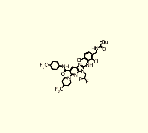 CC(C)(C)C(=O)NCc1ccc(Cl)c(Nc2nc3cc(C(=O)NC4CCC(C(F)(F)F)CC4)c(N4CCC(C(F)(F)F)CC4)nc3n2CC(F)F)c1Cl